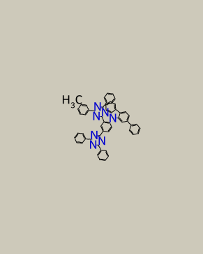 Cc1cccc(-c2nc(-c3ccccc3)nc(-c3cc(-c4nc(-c5ccccc5)nc(-c5ccccc5)n4)ccc3-n3c4ccccc4c4ccc(-c5ccccc5)cc43)n2)c1